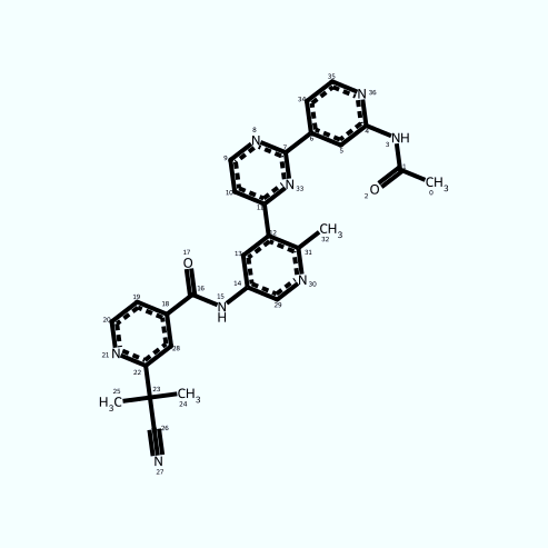 CC(=O)Nc1cc(-c2nccc(-c3cc(NC(=O)c4ccnc(C(C)(C)C#N)c4)cnc3C)n2)ccn1